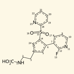 O=C(O)NCCc1cc(-c2cccnc2F)c(S(=O)(=O)c2ccccn2)s1